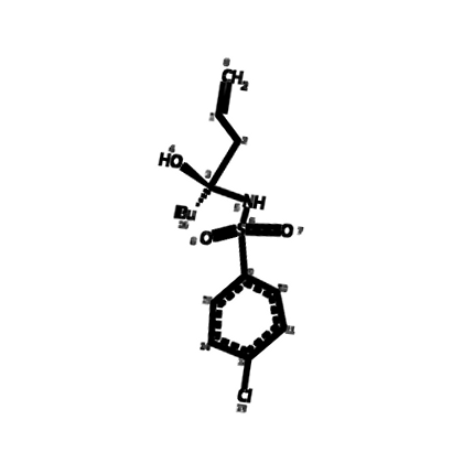 C=CC[C@](O)(NS(=O)(=O)c1ccc(Cl)cc1)[C@@H](C)CC